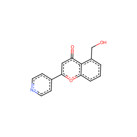 O=c1cc(-c2ccncc2)oc2cccc(CO)c12